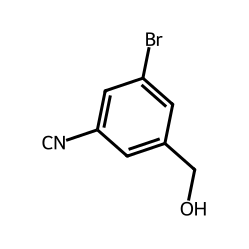 [C-]#[N+]c1cc(Br)cc(CO)c1